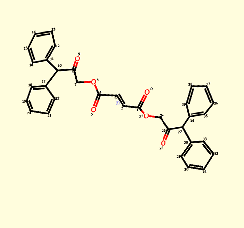 O=C(/C=C/C(=O)OCC(=O)C(c1ccccc1)c1ccccc1)OCC(=O)C(c1ccccc1)c1ccccc1